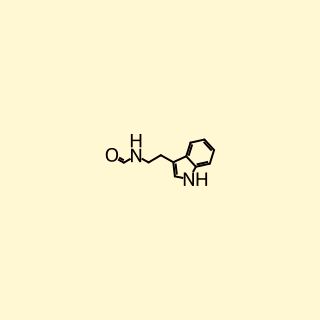 O=CNCCc1c[nH]c2ccccc12